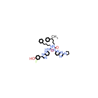 C[C@H](CCCN(C(=O)Nc1ccc2ncc(N3CCCC3)nc2n1)N(CCCCc1ccccc1)C(=O)Nc1ccc2ncc(-c3ccc(O)c(F)c3)nc2n1)c1ccccc1